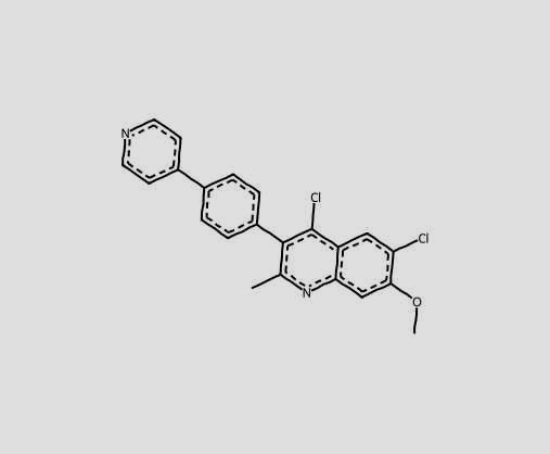 COc1cc2nc(C)c(-c3ccc(-c4ccncc4)cc3)c(Cl)c2cc1Cl